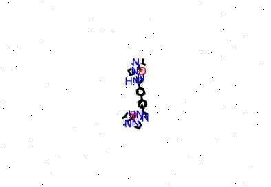 CC(C)[C@H](C(=O)N1CCC[C@H]1c1ncc(-c2ccc(C34CCC(c5cnc([C@@H]6CCCN6C(=O)[C@@H](C(C)C)N(C)C)[nH]5)(CC3)CC4)cc2)[nH]1)N(C)C